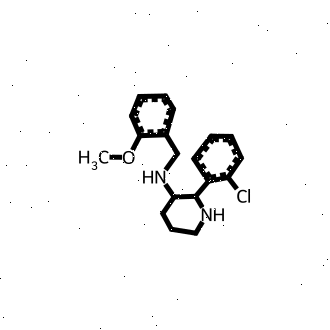 COc1ccccc1CNC1CCCNC1c1ccccc1Cl